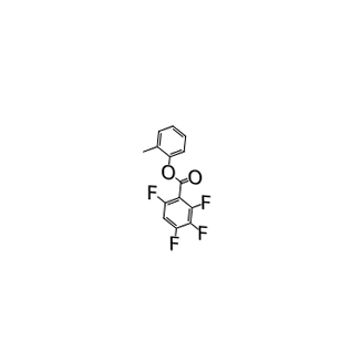 Cc1ccccc1OC(=O)c1c(F)cc(F)c(F)c1F